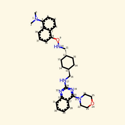 CN(C)c1cccc2c(ONC[C@H]3CC[C@H](CNc4nc(N5CCOCC5)c5ccccc5n4)CC3)cccc12